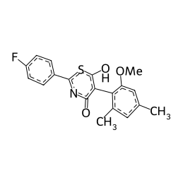 COc1cc(C)cc(C)c1-c1c(O)sc(-c2ccc(F)cc2)nc1=O